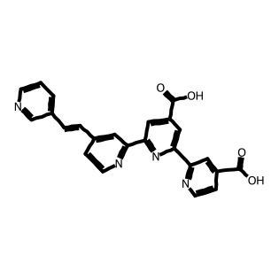 O=C(O)c1ccnc(-c2cc(C(=O)O)cc(-c3cc(/C=C/c4cccnc4)ccn3)n2)c1